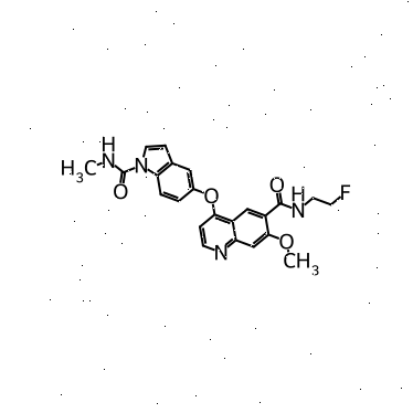 CNC(=O)n1ccc2cc(Oc3ccnc4cc(OC)c(C(=O)NCCF)cc34)ccc21